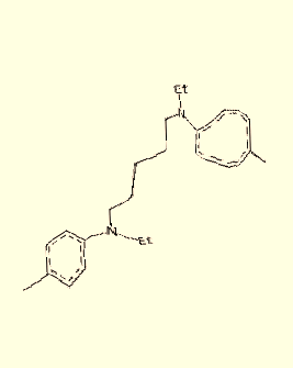 CCN(CCCCCN(CC)c1ccc(C)cc1)c1ccc(C)cc1